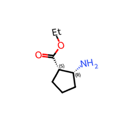 CCOC(=O)[C@H]1CCC[C@H]1N